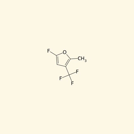 Cc1oc(F)cc1C(F)(F)F